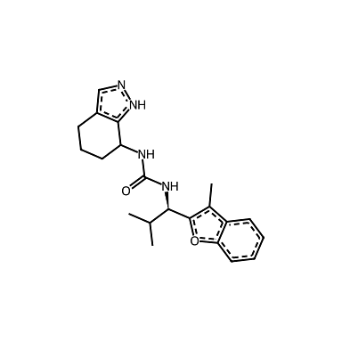 Cc1c([C@H](NC(=O)NC2CCCc3cn[nH]c32)C(C)C)oc2ccccc12